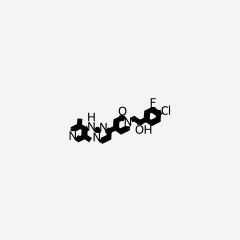 Cc1cncc(C)c1Nc1nccc(-c2ccn(CC(O)c3ccc(Cl)c(F)c3)c(=O)c2)n1